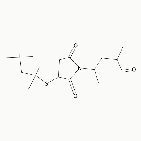 CC(C=O)CC(C)N1C(=O)CC(SC(C)(C)CC(C)(C)C)C1=O